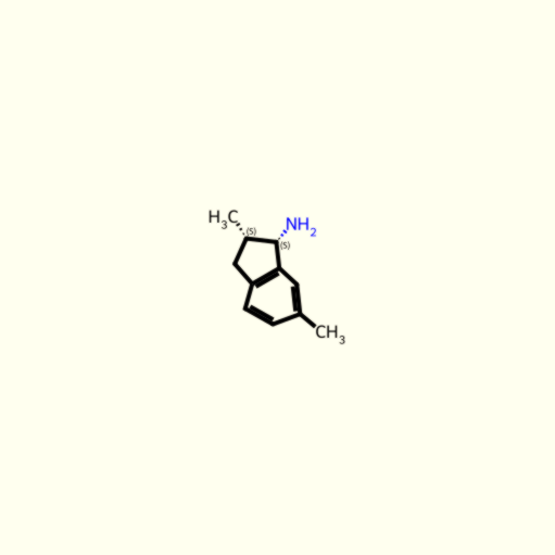 Cc1ccc2c(c1)[C@@H](N)[C@@H](C)C2